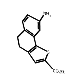 CCOC(=O)c1cc2c(s1)-c1cc(N)ccc1CC2